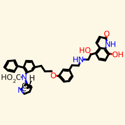 O=C(O)N(c1cc(CCCOc2cccc(CCNC[C@H](O)c3ccc(O)c4[nH]c(=O)ccc34)c2)ccc1-c1ccccc1)[C@H]1CN2CCC1CC2